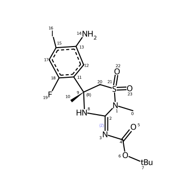 CN1/C(=N\C(=O)OC(C)(C)C)N[C@](C)(c2cc(N)c(I)cc2F)CS1(=O)=O